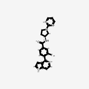 O=C(N[C@H]1CCN(c2ncccn2)C1)c1ccc(-c2nccc3occc23)c(F)c1